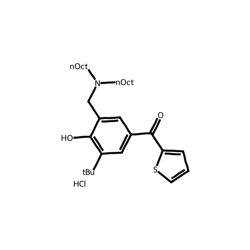 CCCCCCCCN(CCCCCCCC)Cc1cc(C(=O)c2cccs2)cc(C(C)(C)C)c1O.Cl